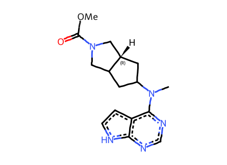 COC(=O)N1CC2CC(N(C)c3ncnc4[nH]ccc34)C[C@H]2C1